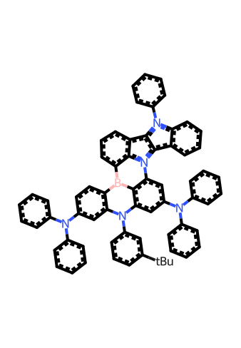 CC(C)(C)c1cccc(N2c3cc(N(c4ccccc4)c4ccccc4)ccc3B3c4c2cc(N(c2ccccc2)c2ccccc2)cc4-n2c4c3cccc4c3c2c2ccccc2n3-c2ccccc2)c1